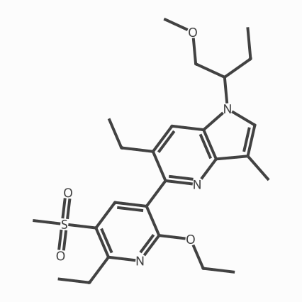 CCOc1nc(CC)c(S(C)(=O)=O)cc1-c1nc2c(C)cn(C(CC)COC)c2cc1CC